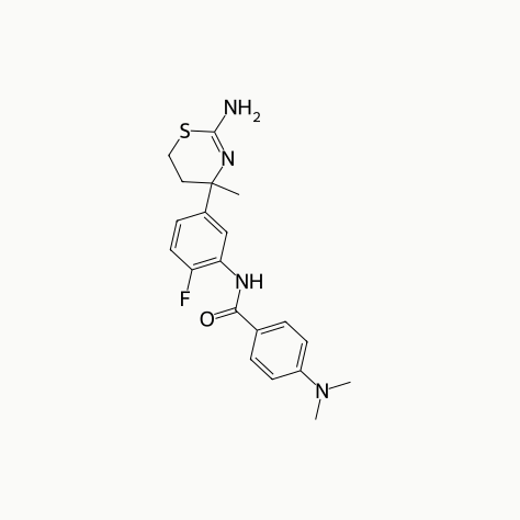 CN(C)c1ccc(C(=O)Nc2cc(C3(C)CCSC(N)=N3)ccc2F)cc1